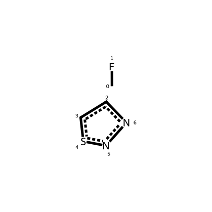 CF.c1csnn1